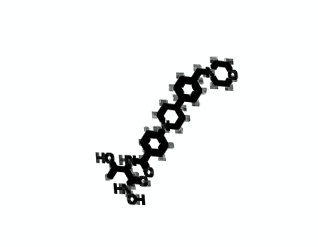 CC(O)C(NC(=O)c1ccc(N2CCC(c3ccc(CN4CCOCC4)cc3)CC2)cc1)C(=O)NO